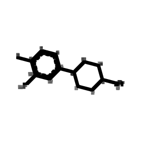 CCCC1CCC(c2ccc(C)c(F)c2)CC1